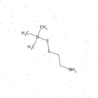 C[Si](C)(C)SSCCN